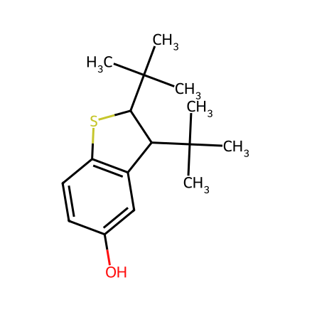 CC(C)(C)C1Sc2ccc(O)cc2C1C(C)(C)C